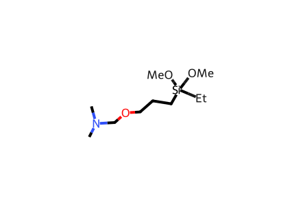 CC[Si](CCCOCN(C)C)(OC)OC